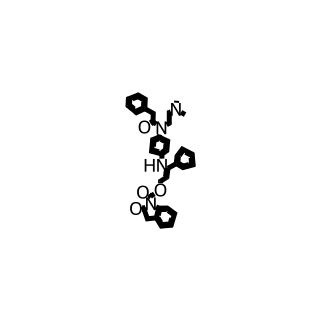 CN(C)CCN(C(=O)Cc1ccccc1)c1ccc(NC(=CCOC(=O)N2C(=O)Cc3ccccc32)c2ccccc2)cc1